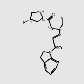 CC[C@@H](C=CC(=O)N1CCc2ccccc21)NC(=O)[C@@H]1C[C@H](F)CN1